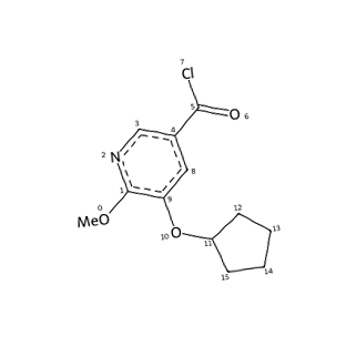 COc1ncc(C(=O)Cl)cc1OC1CCCC1